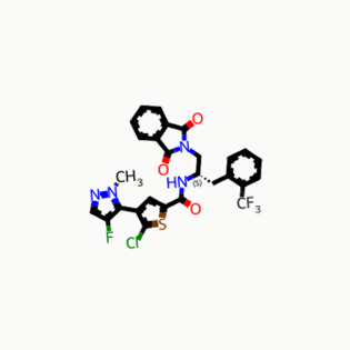 Cn1ncc(F)c1-c1cc(C(=O)N[C@@H](Cc2ccccc2C(F)(F)F)CN2C(=O)c3ccccc3C2=O)sc1Cl